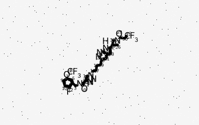 O=C(NCc1cc(OC(F)(F)F)ccc1F)c1cn(CCCCc2cc3cc(C4CN(C(=O)CC(F)(F)F)C4)[nH]c3nn2)nn1